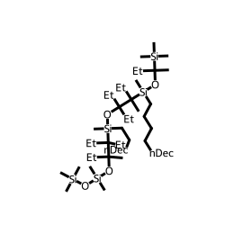 CCCCCCCCCCCCCC[Si](C)(OC(C)(CC)[Si](C)(C)C)C(C)(CC)C(CC)(CC)O[Si](C)(CCCCCCCCCCCC)C(CC)(CC)C(C)(CC)O[Si](C)(C)O[Si](C)(C)C